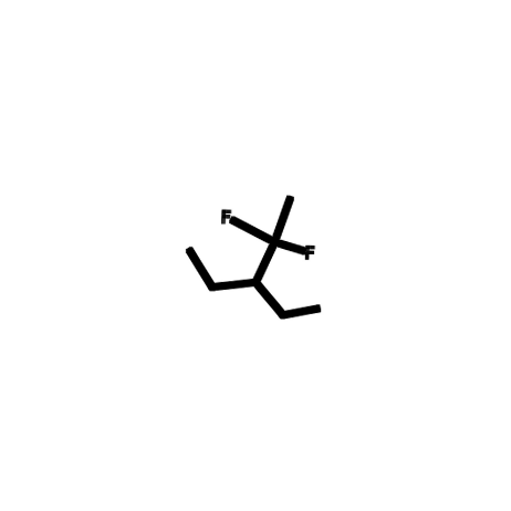 CCC(CC)C(C)(F)F